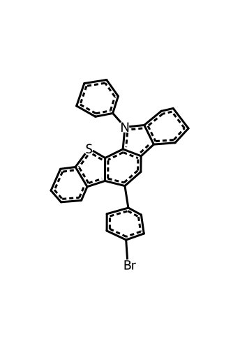 Brc1ccc(-c2cc3c4ccccc4n(-c4ccccc4)c3c3sc4ccccc4c23)cc1